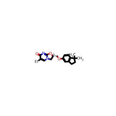 CCc1cn2c(nc1=O)O[C@H](COc1ccc3c(c1)CCC3(C)C)C2